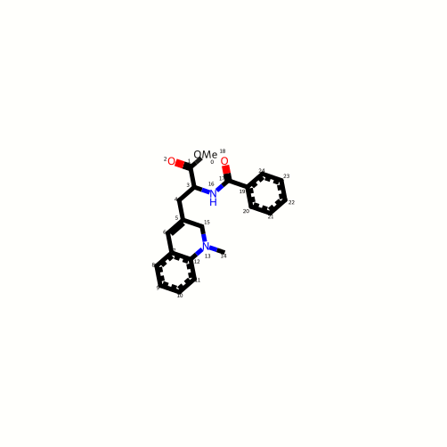 COC(=O)C(CC1=Cc2ccccc2N(C)C1)NC(=O)c1ccccc1